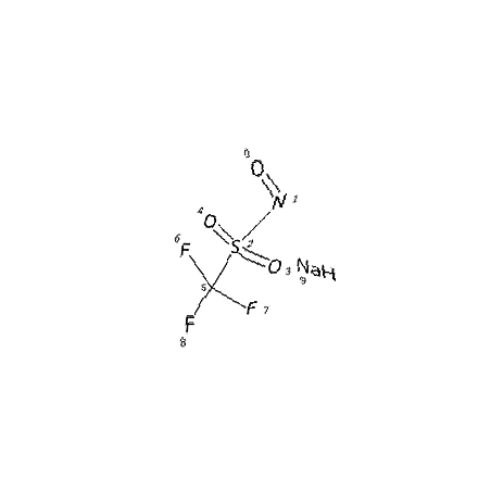 O=NS(=O)(=O)C(F)(F)F.[NaH]